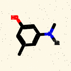 CCN(C)c1cc(C)cc(O)c1